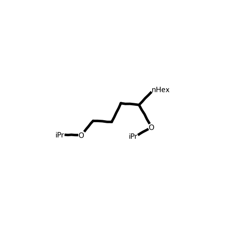 CCCCCC[C](CCCOC(C)C)OC(C)C